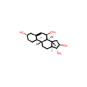 C[C@]12CC[C@H]3[C@@H]([C@H](O)C=C4C[C@H](O)CC[C@@]43C)[C@@H]1C[C@@H](O)[C@@H]2O